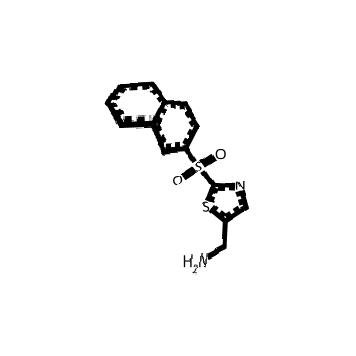 NCc1cnc(S(=O)(=O)c2ccc3ccccc3c2)s1